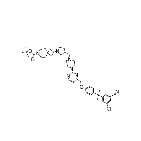 CC(C)(C)OC(=O)N1CCC2(CC1)CC(N1CCC(CN3CCN(c4nccc(COc5ccc(C(C)(C)c6cc(Cl)cc(C#N)c6)cc5)n4)CC3)C1)C2